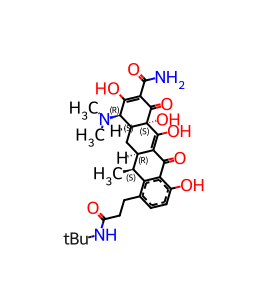 C[C@@H]1c2c(CCC(=O)NC(C)(C)C)ccc(O)c2C(=O)C2=C(O)[C@]3(O)C(=O)C(C(N)=O)=C(O)[C@H](N(C)C)[C@@H]3C[C@@H]21